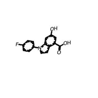 O=C(O)c1cc(O)cc2c1ccn2-c1ccc(F)cc1